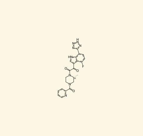 C[C@@H]1CN(C(=O)c2ccccn2)CCN1C(=O)C(=O)c1c[nH]c2c(-c3nn[nH]n3)ccc(F)c12